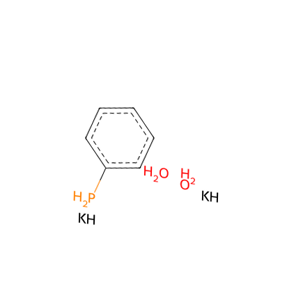 O.O.Pc1ccccc1.[KH].[KH]